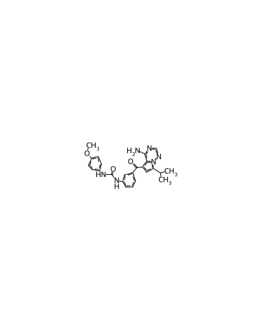 COc1ccc(NC(=O)Nc2cccc(C(=O)c3cc(C(C)C)n4ncnc(N)c34)c2)cc1